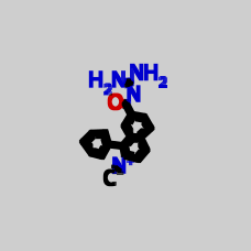 [C-]#[N+]c1ccc2ccc(C(=O)N=C(N)N)cc2c1-c1ccccc1